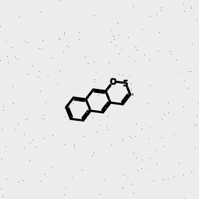 [C]1=Cc2cc3ccccc3cc2OS1